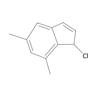 Cc1cc(C)c2c(c1)C=CC2Cl